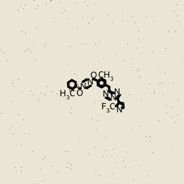 Cc1cc(Cc2nccn3c(C4=CCN=C4C(F)(F)F)cnc23)ccc1C(=O)N1CCN(C(=O)[C@H]2CCCC[C@@H]2C)CC1